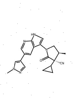 C[C@@H]1CN(c2c[nH]c3ncc(-c4cnn(C)c4)cc23)C(=O)[C@]1(C#N)C1CC1